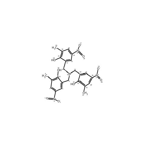 Cc1cc([N+](=O)[O-])cc(CN(Cc2cc([N+](=O)[O-])cc(C)c2O)Cc2cc([N+](=O)[O-])cc(C)c2O)c1O